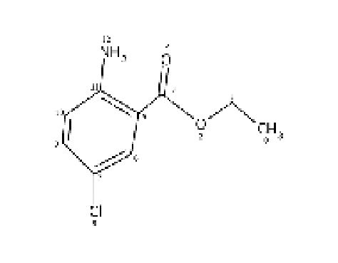 CCOC(=O)c1cc(Cl)ccc1N